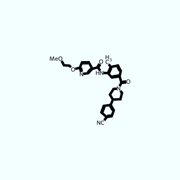 COCCOc1ccc(C(=O)Nc2cc(C(=O)N3CCC(c4ccc(C#N)cc4)CC3)ccc2C)cn1